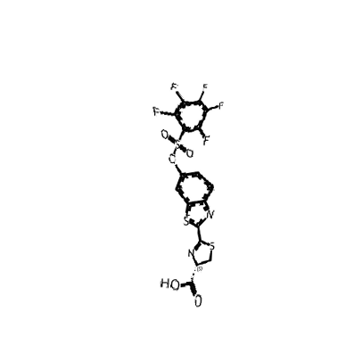 O=C(O)[C@H]1CSC(c2nc3ccc(OS(=O)(=O)c4c(F)c(F)c(F)c(F)c4F)cc3s2)=N1